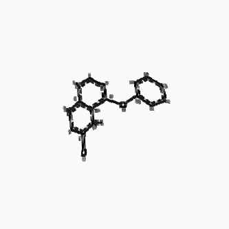 O=c1cnc2nccc(Oc3ccccc3)c2[nH]1